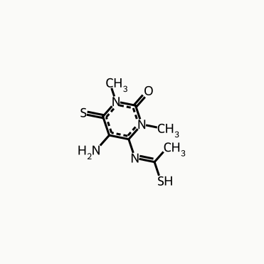 C/C(S)=N\c1c(N)c(=S)n(C)c(=O)n1C